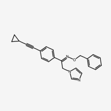 C(#CC1CC1)c1ccc(/C(Cn2ccnc2)=N/OCc2ccccc2)cc1